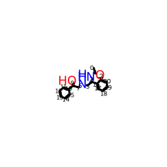 CC(=O)NC(CNCC(O)c1ccccc1)c1ccccc1